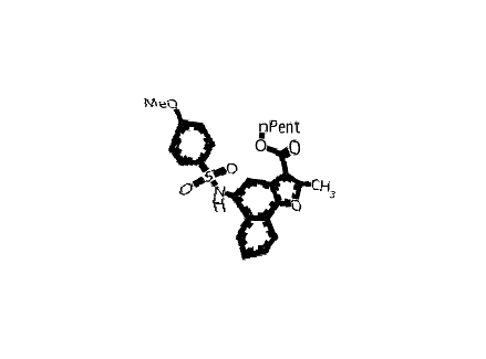 CCCCCOC(=O)c1c(C)oc2c1cc(NS(=O)(=O)c1ccc(OC)cc1)c1ccccc12